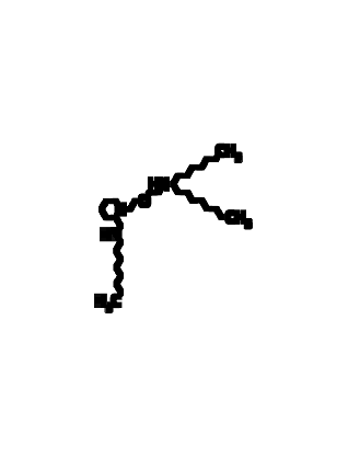 CCCCCCCCNCC1CCCCN1CCOCCNC(CCCCCCC)CCCCCCCC